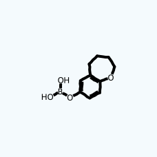 OB(O)Oc1ccc2c(c1)CCCCO2